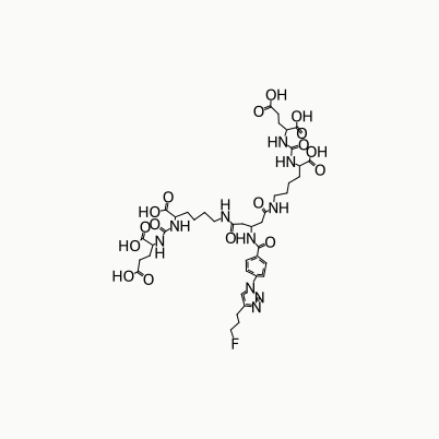 O=C(O)CCC(NC(=O)NC(CCCCNC(=O)CC(CC(=O)NCCCCC(NC(=O)NC(CCC(=O)O)C(=O)O)C(=O)O)NC(=O)c1ccc(-n2cc(CCCF)nn2)cc1)C(=O)O)C(=O)O